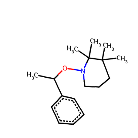 CC(ON1CCCC(C)(C)C1(C)C)c1ccccc1